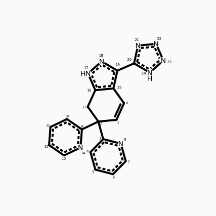 C1=CC(c2ccccn2)(c2ccccn2)Cc2[nH]nc(-c3nnn[nH]3)c21